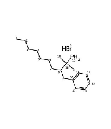 Br.CCCCCCCC(Cc1ccccc1)C(C)(C)P